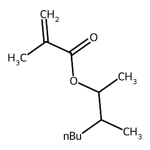 C=C(C)C(=O)OC(C)C(C)CCCC